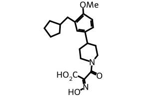 COc1ccc(C2CCN(C(=O)/C(=N/O)C(=O)O)CC2)cc1CC1CCCC1